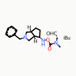 CC[C@H](C)[C@@H](C=O)N(C)C(=O)ON[C@@H]1CC[C@H]2CN(Cc3ccccc3)C[C@H]21